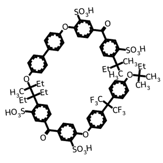 CCC(C)(C)Oc1ccc(C(c2ccc(Oc3ccc(C(=O)c4ccc(C(CC)(CC)C(C)(CC)Oc5ccc(-c6ccc(Oc7ccc(C(=O)c8ccc(C(C)(C)CC)c(S(=O)(=O)O)c8)cc7S(=O)(=O)O)cc6)cc5)c(S(=O)(=O)O)c4)cc3S(=O)(=O)O)cc2)(C(F)(F)F)C(F)(F)F)cc1